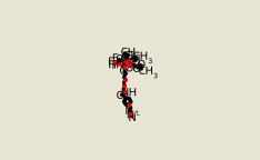 CC(=O)OCC1O[C@@H](OCCCCCCNC(=O)c2ccc(CN=[N+]=[N-])cc2)C(NC(=O)C(F)(F)F)C(OC(C)=O)[C@@H]1OC(C)=O